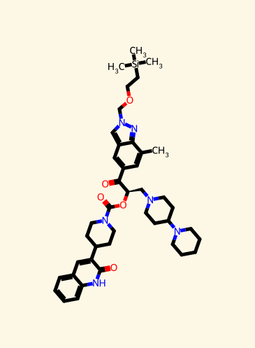 Cc1cc(C(=O)[C@@H](CN2CCC(N3CCCCC3)CC2)OC(=O)N2CCC(c3cc4ccccc4[nH]c3=O)CC2)cc2cn(COCC[Si](C)(C)C)nc12